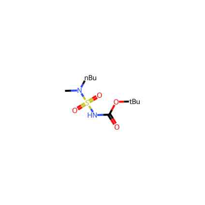 CCCCN(C)S(=O)(=O)NC(=O)OC(C)(C)C